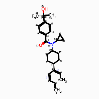 C=C/C=C\C(=C/C)[C@H]1CC[C@H](N(C(=O)c2ccc([C@](C)(O)C(F)(F)F)cc2)C2CC2)CC1